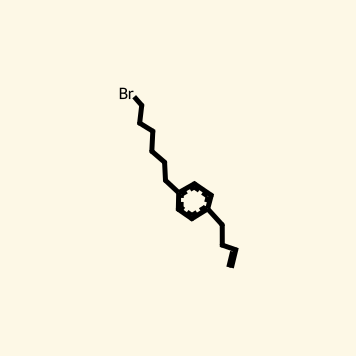 C=CCCc1ccc(CCCCCCBr)cc1